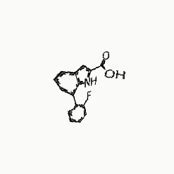 O=C(O)c1cc2cccc(-c3ccccc3F)c2[nH]1